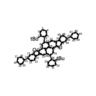 CC(C)(C)c1ccccc1-c1cc2c3oc4cc(-c5ccccc5)ccc4c3cc3c(-c4ccccc4C(C)(C)C)cc4c5oc6cc(-c7ccccc7)ccc6c5cc1c4c32